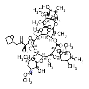 CO/N=C1\C[C@@H](C)O[C@@H](O[C@@H]2[C@@H](C)[C@H](O[C@H]3CC(C)N(C)C[C@H](C)O3)[C@@H](C)C(=O)O[C@H]([C@@H](C)CO[C@@H]3O[C@H](C)[C@@H](O)[C@@H](OC)[C@H]3OC)[C@H](C)[C@@H](OC(=O)CC(C)C)[C@@H](C)C(=O)[C@@](C)(OC(=O)NCC3CCCO3)C[C@@H]2C)[C@@H]1O